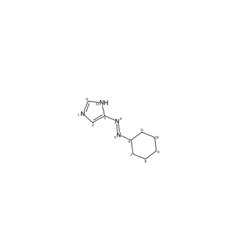 c1ncc(/N=N/C2CCCCC2)[nH]1